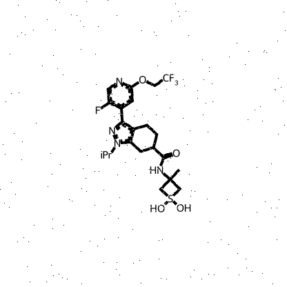 CC(C)n1nc(-c2cc(OCC(F)(F)F)ncc2F)c2c1CC(C(=O)NC1(C)CS(O)(O)C1)CC2